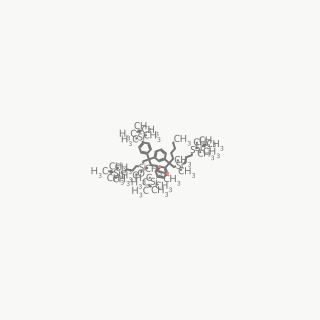 CCCCCC(C[Si](C)(C)CCCS[Si](C)(C)C(C)(C)C)(c1ccc([Si](C)(C)C(C)(C)C)cc1)c1cccc(C(CCCCC)(C[Si](C)(CCCS[Si](C)(C)C(C)(C)C)OC)c2ccc([Si](C)(C)C(C)(C)C)cc2)c1